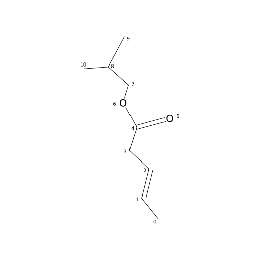 CC=CCC(=O)OCC(C)C